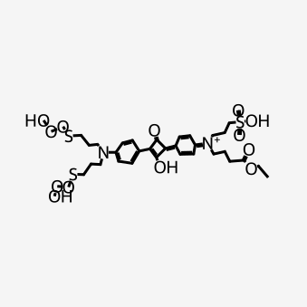 CCOC(=O)CCC[N+](CCCS(=O)(=O)O)=C1C=CC(=C2C(=O)C(c3ccc(N(CCCSOOO)CCCSOOO)cc3)=C2O)C=C1